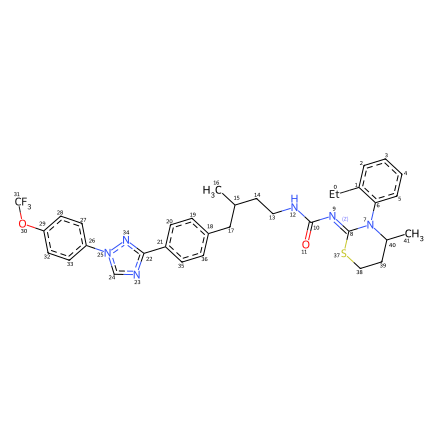 CCc1ccccc1N1/C(=N/C(=O)NCCC(C)Cc2ccc(-c3ncn(-c4ccc(OC(F)(F)F)cc4)n3)cc2)SCCC1C